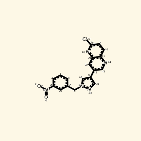 O=[N+]([O-])c1cccc(Cn2cc(-c3cnc4ccc(Cl)nc4c3)cn2)c1